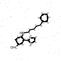 O=Cc1ccc(NCCCCCc2ccccc2)c(-c2nccs2)c1